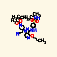 CCCCOc1nccc2c1c(Nc1ccc(S(=O)(=O)NC(C)C)cc1)nn2C1(CC#N)CCN(C(=O)OC(C)(C)C)CC1